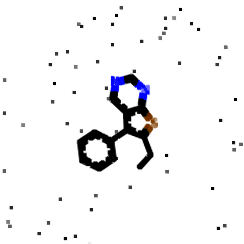 CCc1sc2ncn[c]c2c1-c1ccccc1